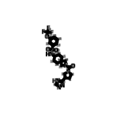 O=C(N1CCC(c2nnc[nH]2)C1)N1CC2(CCC(NS(=O)(=O)c3cccc(OC(F)(F)F)c3)CC2)C1